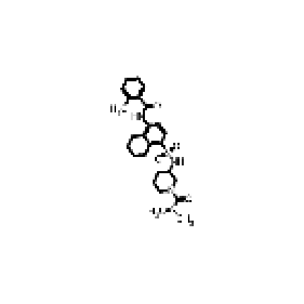 Cc1ccccc1C(=O)Nc1ccc(S(=O)(=O)NC2CCCN(C(=O)N(C)C)C2)c2c1CCCC2